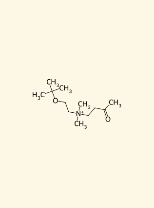 CC(=O)CC[N+](C)(C)CCOC(C)(C)C